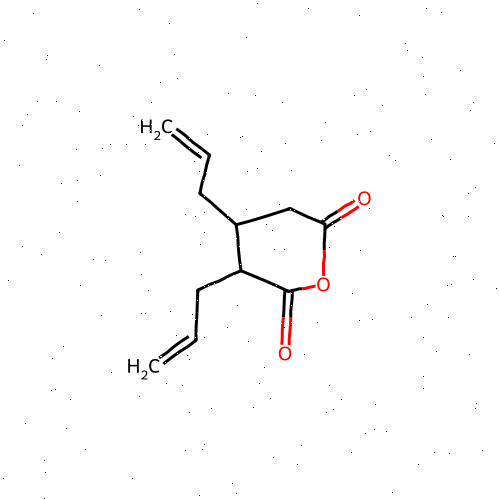 C=CCC1CC(=O)OC(=O)C1CC=C